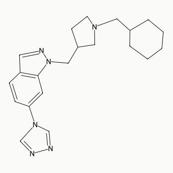 c1cc2cnn(CC3CCN(CC4CCCCC4)C3)c2cc1-n1cnnc1